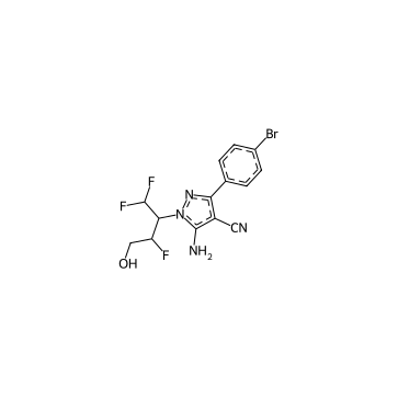 N#Cc1c(-c2ccc(Br)cc2)nn(C(C(F)F)C(F)CO)c1N